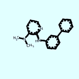 CN(C)c1cccnc1Nc1cccc(-c2ccccc2)c1